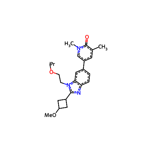 COC1CC(c2nc3ccc(-c4cc(C)c(=O)n(C)c4)cc3n2CCOC(C)C)C1